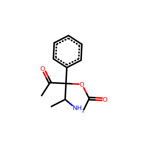 CC(=O)OC(C(C)=O)(c1ccccc1)C(C)N